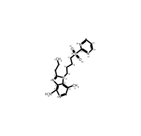 CCCc1nc2c(N)ncc(C)c2n1CCCCS(=O)(=O)c1ncccn1